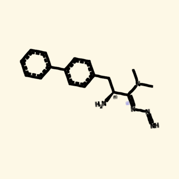 CN(C)/C(=N\N=N)[C@@H](N)Cc1ccc(-c2ccccc2)cc1